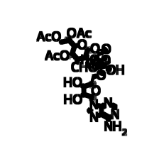 CC(=O)OC[C@@H](OC(C)=O)C1O[C@@H](OP(=O)(O)OP(=O)(O)OC[C@H]2O[C@@H](n3cnc4c(N)ncnc43)C(O)C2O)C(OC(C)=O)C(C=O)[C@@H]1OC(C)=O